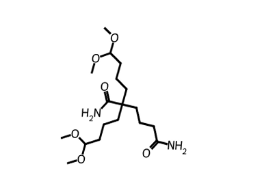 COC(CCCC(CCCC(N)=O)(CCCC(OC)OC)C(N)=O)OC